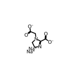 O=C([O-])CN1CCN=C1C(=O)[O-].[Na+].[Na+]